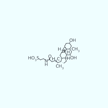 C[C@H](CCC(=O)NCCS(=O)(=O)O)[C@H]1CC[C@H]2[C@@H]3[C@H](O)C[C@]4(C)C[C@H](O)CC[C@]4(C)[C@H]3CC[C@]12C